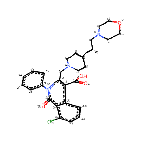 O=C(O)c1c(CN2CCC(CCN3CCOCC3)CC2)n(-c2ccccc2)c(=O)c2c(Cl)cccc12